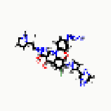 CN1CCCC1CCNC(=O)c1cn2c3c(c(N4CCC(c5cnccn5)C4)c(F)cc3c1=O)Oc1cc(N=[N+]=[N-])ccc1-2